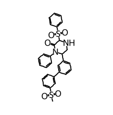 CS(=O)(=O)c1cccc(-c2cccc(C3CNC(S(=O)(=O)c4ccccc4)C(=O)N3c3ccccc3)c2)c1